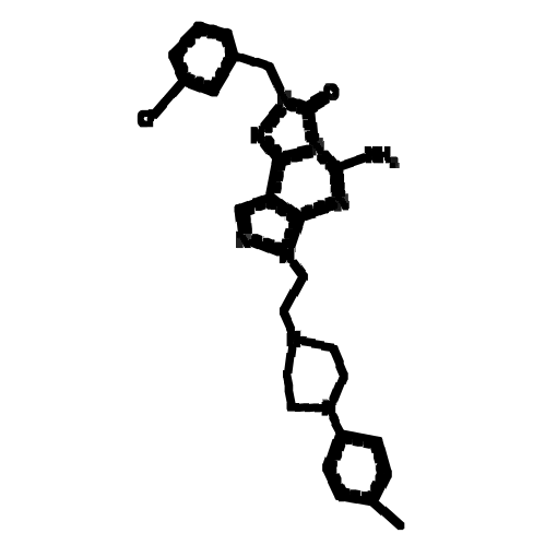 Cc1ccc(N2CCN(CCn3ncc4c3nc(N)n3c(=O)n(Cc5cccc(Cl)c5)nc43)CC2)cc1